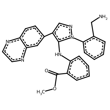 COC(=O)c1ccccc1Nc1c(-c2ccc3nccnc3c2)cnn1-c1ccccc1CN